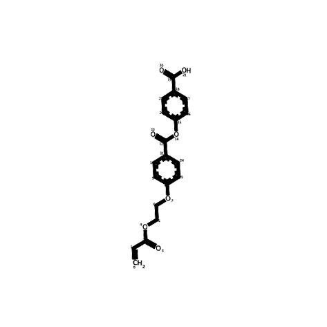 C=CC(=O)OCCOc1ccc(C(=O)Oc2ccc(C(=O)O)cc2)cc1